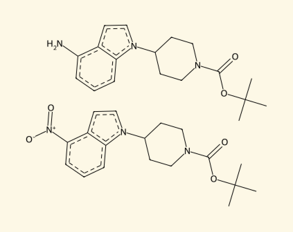 CC(C)(C)OC(=O)N1CCC(n2ccc3c(N)cccc32)CC1.CC(C)(C)OC(=O)N1CCC(n2ccc3c([N+](=O)[O-])cccc32)CC1